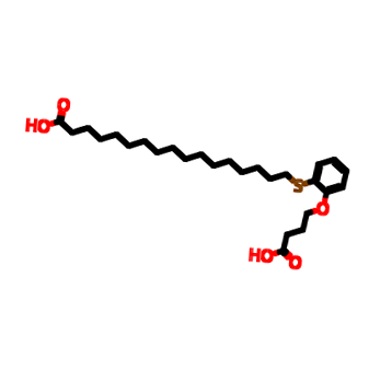 O=C(O)CCCCCCCCCCCCCCCCSc1ccccc1OCCCC(=O)O